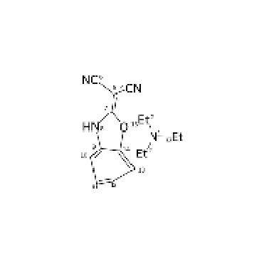 CCN(CC)CC.N#CC(C#N)=C1Nc2ccccc2O1